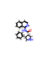 O=C(Nc1nccc2ccccc12)[C@@H]1CNC[C@H]1c1ccccc1